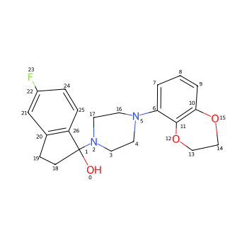 OC1(N2CCN(c3cccc4c3OCCO4)CC2)CCc2cc(F)ccc21